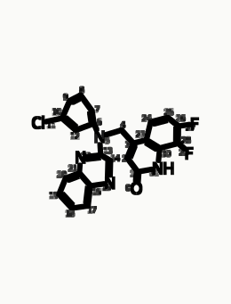 O=c1cc(CN(c2cccc(Cl)c2)c2cnc3ccccc3n2)c2ccc(F)c(F)c2[nH]1